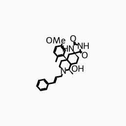 COc1ccc(C)c([C@]23CCN(C/C=C/c4ccccc4)[C@H](C)[C@]2(O)CC[C@@]2(C3)NC(=O)NC2=O)c1